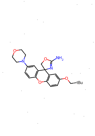 CC(C)(C)COc1ccc2c(c1)C1(COC(N)=N1)c1cc(N3CCOCC3)ccc1O2